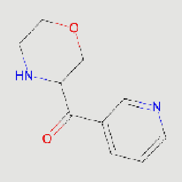 O=C(c1cccnc1)C1COCCN1